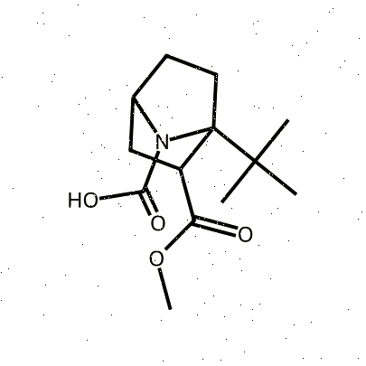 COC(=O)C1CC2CCC1(C(C)(C)C)N2C(=O)O